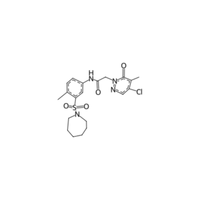 Cc1ccc(NC(=O)Cn2ncc(Cl)c(C)c2=O)cc1S(=O)(=O)N1CCCCCC1